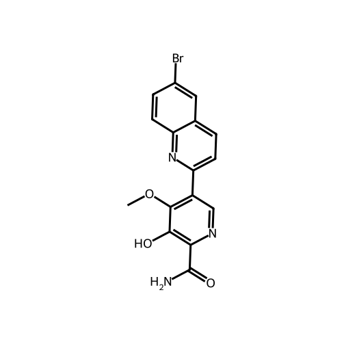 COc1c(-c2ccc3cc(Br)ccc3n2)cnc(C(N)=O)c1O